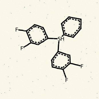 Fc1ccc([SH](c2ccccc2)c2ccc(F)c(F)c2)cc1F